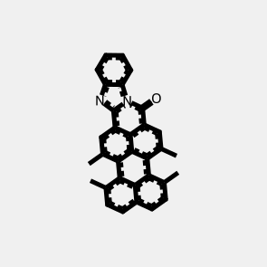 Cc1ccc2ccc(C)c3c4c(C)cc5c6c(cc(C)c(c1c23)c46)c(=O)n1c2ccccc2nc51